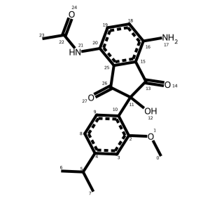 COc1cc(C(C)C)ccc1C1(O)C(=O)c2c(N)ccc(NC(C)=O)c2C1=O